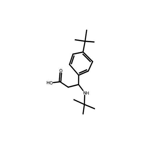 CC(C)(C)NC(CC(=O)O)c1ccc(C(C)(C)C)cc1